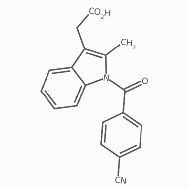 Cc1c(CC(=O)O)c2ccccc2n1C(=O)c1ccc(C#N)cc1